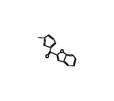 Cc1cccc(C(=O)c2cc3ccccc3o2)c1